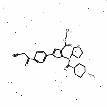 CCOC(=O)c1cc(-c2ccc(C(=O)CC#N)cc2)oc1N(C(=O)[C@H]1CC[C@H](C)CC1)C1CCOC1